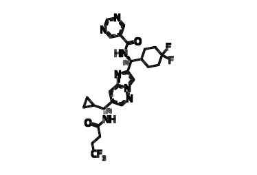 O=C(CCC(F)(F)F)N[C@@H](c1cnn2cc([C@@H](NC(=O)c3cncnc3)C3CCC(F)(F)CC3)nc2c1)C1CC1